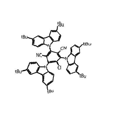 CC(C)(C)c1ccc2c(c1)c1cc(C(C)(C)C)ccc1n2-c1c(Cl)c(-n2c3ccc(C(C)(C)C)cc3c3cc(C(C)(C)C)ccc32)c(C#N)c(-n2c3ccc(C(C)(C)C)cc3c3cc(C(C)(C)C)ccc32)c1C#N